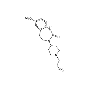 COc1ccc2c(c1)CCN(C1CCN(CCN)CC1)C(=O)N2